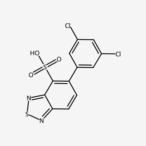 O=S(=O)(O)c1c(-c2cc(Cl)cc(Cl)c2)ccc2nsnc12